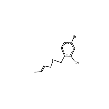 CC=CCOCc1ccc(Br)cc1C(C)(C)C